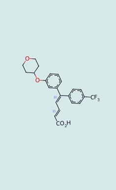 O=C(O)/C=C/C=C(\c1ccc(C(F)(F)F)cc1)c1cccc(OC2CCOCC2)c1